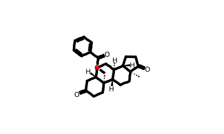 C[C@]12CC[C@H]3[C@@H](CC[C@H]4CC(=O)CC[C@@]43COC(=O)c3ccccc3)[C@@H]1CCC2=O